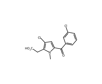 Cn1c(C(=O)c2cccc(Cl)c2)cc(Cl)c1CC(=O)O